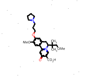 COCC(C)(C)C1Cc2cc(OCCCN3CCCC3)c(OC)cc2-c2cc(=O)c(C(=O)O)cn21